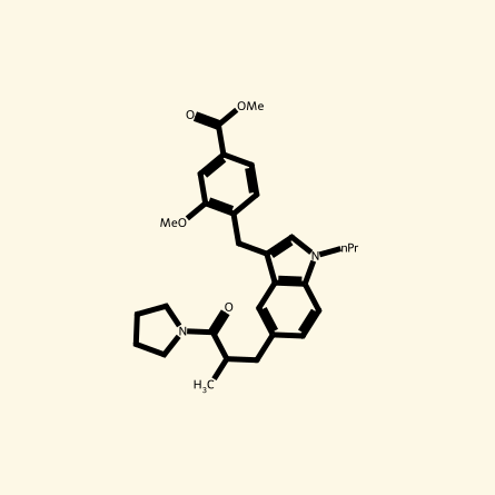 CCCn1cc(Cc2ccc(C(=O)OC)cc2OC)c2cc(CC(C)C(=O)N3CCCC3)ccc21